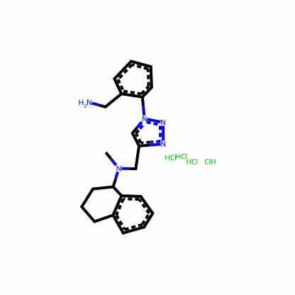 CN(Cc1cn(-c2ccccc2CN)nn1)C1CCCc2ccccc21.Cl.Cl.Cl.Cl